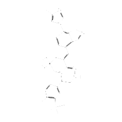 Cc1cn(-c2ccc(/C=C3\CC4(COC4)CN4C3=NNCC4c3ccc(F)c([Si](C)(C)C)c3)c3cnoc23)cn1